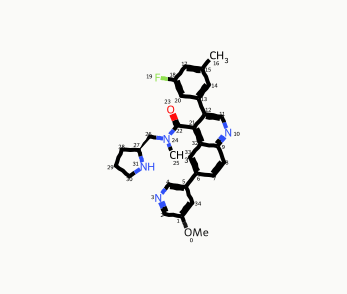 COc1cncc(-c2ccc3ncc(-c4cc(C)cc(F)c4)c(C(=O)N(C)C[C@@H]4CCCN4)c3c2)c1